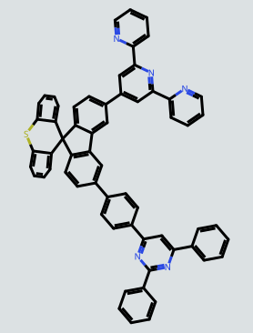 c1ccc(-c2cc(-c3ccc(-c4ccc5c(c4)-c4cc(-c6cc(-c7ccccn7)nc(-c7ccccn7)c6)ccc4C54c5ccccc5Sc5ccccc54)cc3)nc(-c3ccccc3)n2)cc1